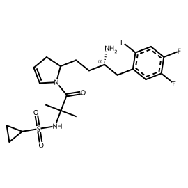 CC(C)(NS(=O)(=O)C1CC1)C(=O)N1C=CCC1CC[C@H](N)Cc1cc(F)c(F)cc1F